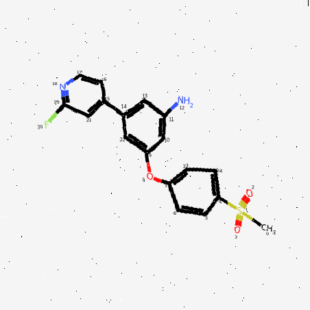 CS(=O)(=O)c1ccc(Oc2cc(N)cc(-c3ccnc(F)c3)c2)cc1